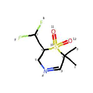 CC1(C)C=NCC(C(F)F)S1(=O)=O